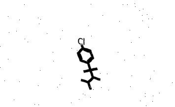 CC(C)C(C)C(C)(C)c1ccc(Cl)cc1